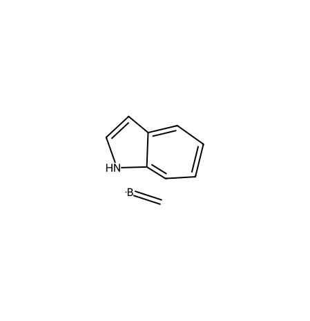 [B]=C.c1ccc2[nH]ccc2c1